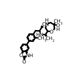 C#CC(Cc1ccc(-c2ccc3oc(=O)[nH]c3c2)cc1C)NC(=C)C1CNCC(C)(O)CO1